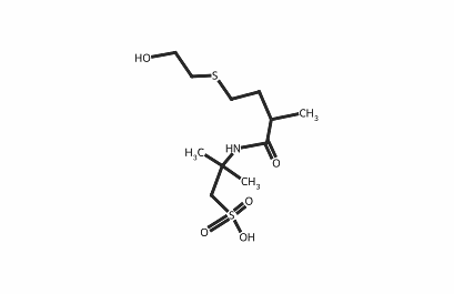 CC(CCSCCO)C(=O)NC(C)(C)CS(=O)(=O)O